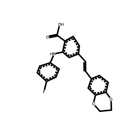 O=C(O)c1ccc(C=Cc2ccc3c(c2)OCCO3)cc1Nc1ccc(F)cc1